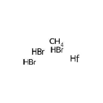 Br.Br.Br.C.[Hf]